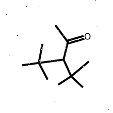 CC(=O)C(C(C)(C)C)C(C)(C)C